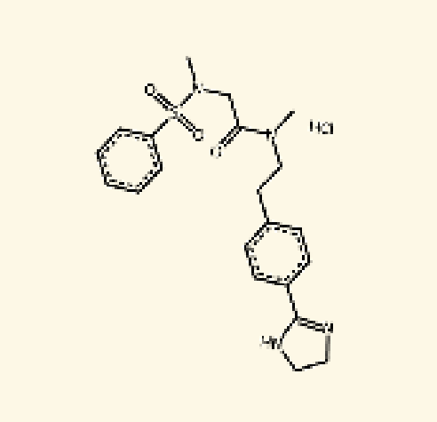 CN(CCc1ccc(C2=NCCN2)cc1)C(=O)CN(C)S(=O)(=O)c1ccccc1.Cl